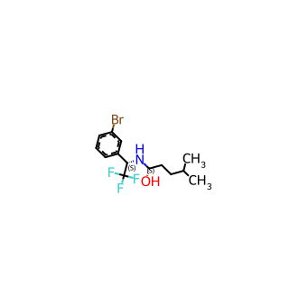 CC(C)CC[C@H](O)N[C@@H](c1cccc(Br)c1)C(F)(F)F